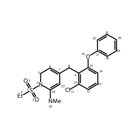 CCS(=O)(=O)N1CC=C(Cc2c(Cl)cccc2Oc2ccccc2)C=C1NC